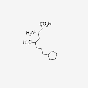 C[C@H](CCCC1CCCC1)C[C@H](N)CC(=O)O